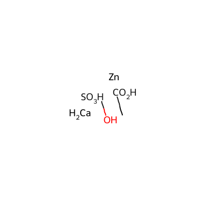 CC(=O)O.O=S(=O)(O)O.[CaH2].[Zn]